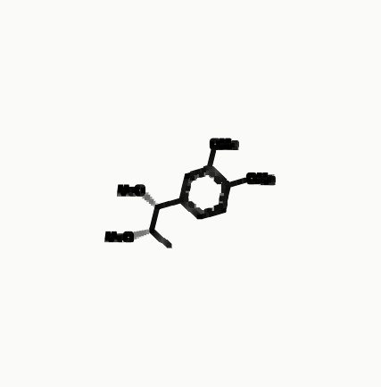 COc1ccc([C@@H](OC)[C@H](C)OC)cc1OC